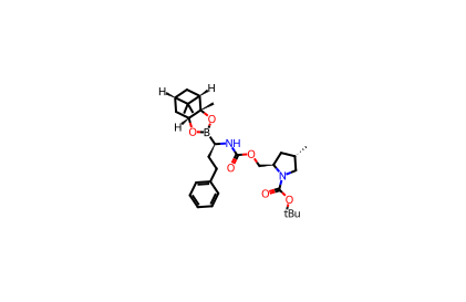 C[C@H]1C[C@H](COC(=O)N[C@@H](CCc2ccccc2)B2O[C@@H]3C[C@@H]4C[C@@H](C4(C)C)[C@]3(C)O2)N(C(=O)OC(C)(C)C)C1